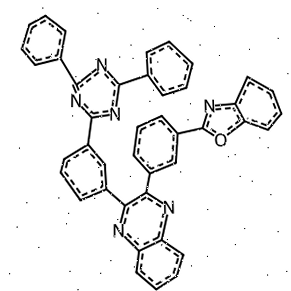 c1ccc(-c2nc(-c3ccccc3)nc(-c3cccc(-c4nc5ccccc5nc4-c4cccc(-c5nc6ccccc6o5)c4)c3)n2)cc1